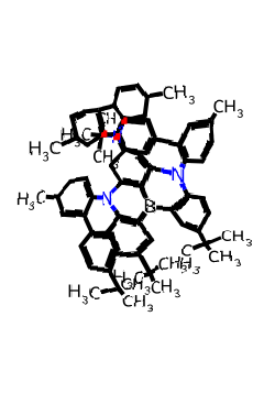 Cc1ccc(N2C3=CC(N4C5=C(C=CC(C)C5)C5C=CC(C)CC54)CC4=C3B(c3cc(C(C)(C)C)ccc3N4C3=CCC(C)C=C3c3ccc(C(C)(C)C)cc3)c3cc(C(C)(C)C)ccc32)c(-c2ccc(C(C)(C)C)cc2)c1